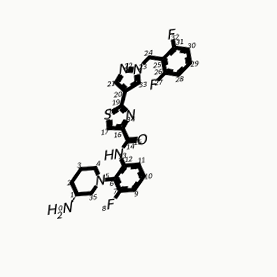 N[C@@H]1CCCN(c2c(F)cccc2NC(=O)c2csc(-c3cnn(Cc4c(F)cccc4F)c3)n2)C1